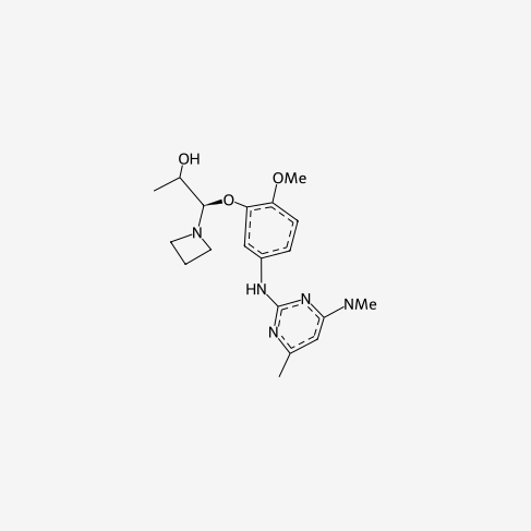 CNc1cc(C)nc(Nc2ccc(OC)c(O[C@H](C(C)O)N3CCC3)c2)n1